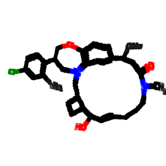 CCCCc1cc(Cl)ccc1C1COc2ccc3cc2N(C1)CC1CCC1C(O)/C=C/CCCN(C)C(=O)CC3OC